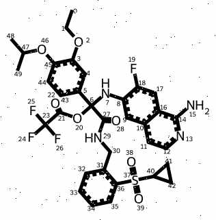 CCOc1cc(C(Nc2cc3ccnc(N)c3cc2F)(OC(=O)C(F)(F)F)C(=O)NCc2ccccc2S(=O)(=O)C2CC2)ccc1OC(C)C